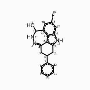 OC1NN=C2CC(c3ccccc3)Cc3[nH]c4cc(F)cc1c4c32